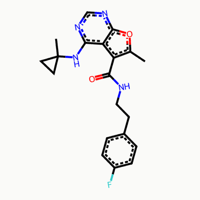 Cc1oc2ncnc(NC3(C)CC3)c2c1C(=O)NCCc1ccc(F)cc1